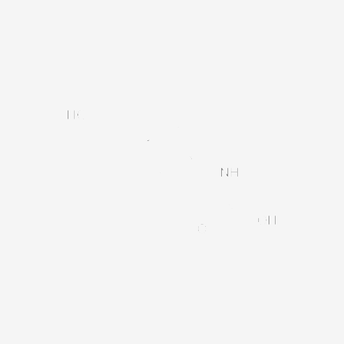 C#CC12CC(NC(=O)O)(C1)C2